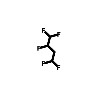 FC(F)CC(F)C(F)F